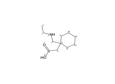 CCNCC1(CC(=O)O)CCCCC1